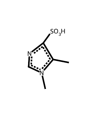 Cc1c(S(=O)(=O)O)ncn1C